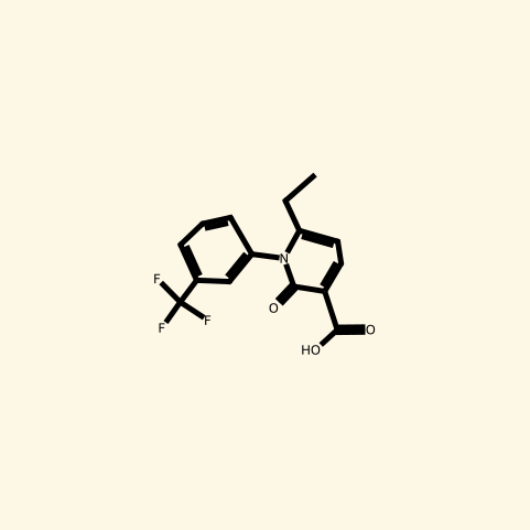 CCc1ccc(C(=O)O)c(=O)n1-c1cccc(C(F)(F)F)c1